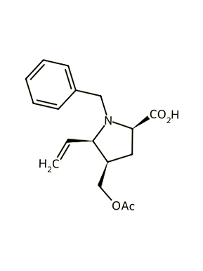 C=C[C@@H]1[C@H](COC(C)=O)C[C@H](C(=O)O)N1Cc1ccccc1